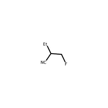 CCC(C#N)CF